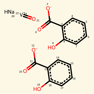 O=C([O-])c1ccccc1O.O=C([O-])c1ccccc1O.[NaH].[O]=[V+2]